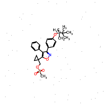 CC(C)(C)[Si](C)(C)Oc1ccc(-c2noc(C3(COS(C)(=O)=O)CC3)c2-c2ccccc2)cc1